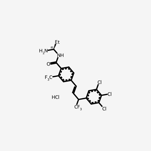 CC[C@H](N)NC(=O)c1ccc(C=CC(c2cc(Cl)c(Cl)c(Cl)c2)C(F)(F)F)cc1C(F)(F)F.Cl